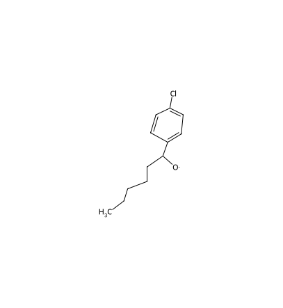 CCCCCC([O])c1ccc(Cl)cc1